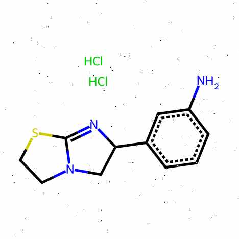 Cl.Cl.Nc1cccc(C2CN3CCSC3=N2)c1